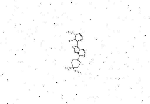 Cc1cccc(-c2ncn3c(N4CCC(C)(N)CC4)nccc23)c1Cl